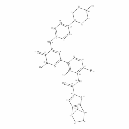 Cc1c(-c2cc(Nc3ccc(C4CCN(C)CC4)nn3)c(=O)n(C)c2)ccc(F)c1NC(=O)c1cc2c(s1)C1CCC2C1